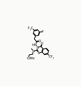 COCCN(C)c1nc2cc(C(F)(F)F)ccc2c(=O)n1NC(=O)Cc1cc(F)cc(C(F)(F)F)c1